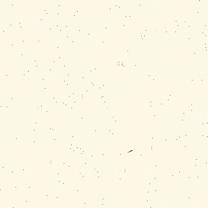 Cc1sc2c(c1C)C(c1ccc(Nc3cccc(C(F)(F)F)c3)cc1)=NC([C@H](C)C(=O)O)c1nnc(C)n1-2